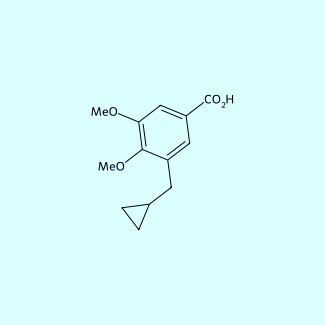 COc1cc(C(=O)O)cc(CC2CC2)c1OC